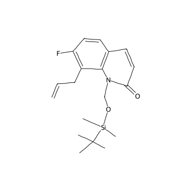 C=CCc1c(F)ccc2ccc(=O)n(CO[Si](C)(C)C(C)(C)C)c12